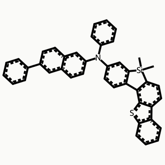 C[Si]1(C)c2cc(N(c3ccccc3)c3ccc4cc(-c5ccccc5)ccc4c3)ccc2-c2c1ccc1c2sc2ccccc21